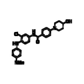 CNc1ccc(Nc2ccc(NC(=O)c3ccc(N4CCC(O)CC4)cc3)cc2Cl)cc1